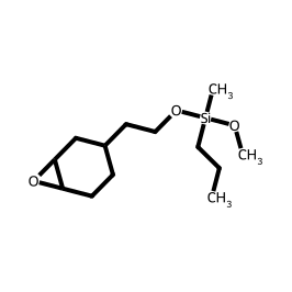 CCC[Si](C)(OC)OCCC1CCC2OC2C1